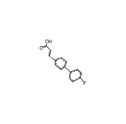 O=C(O)C=Cc1ccc(-c2ccc(F)cc2)cc1